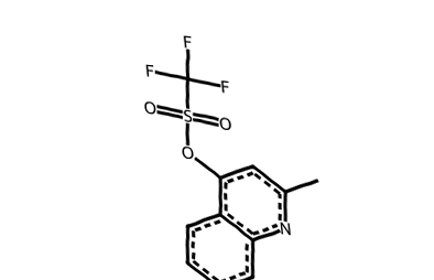 Cc1cc(OS(=O)(=O)C(F)(F)F)c2ccccc2n1